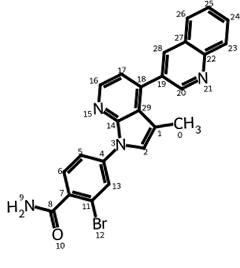 Cc1cn(-c2ccc(C(N)=O)c(Br)c2)c2nccc(-c3cnc4ccccc4c3)c12